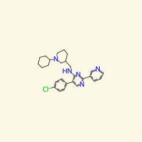 Clc1ccc(-c2cnc(-c3cccnc3)nc2NCC2CCCN(C3CCCCC3)C2)cc1